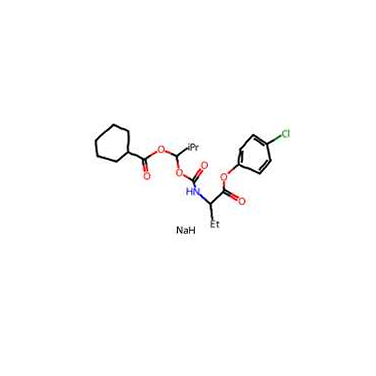 CCC(NC(=O)OC(OC(=O)C1CCCCC1)C(C)C)C(=O)Oc1ccc(Cl)cc1.[NaH]